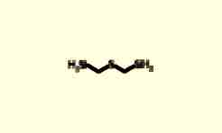 [SiH3]CSC[SiH3]